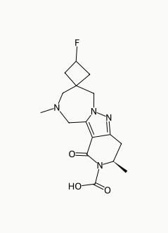 C[C@@H]1Cc2nn3c(c2C(=O)N1C(=O)O)CN(C)CC1(CC(F)C1)C3